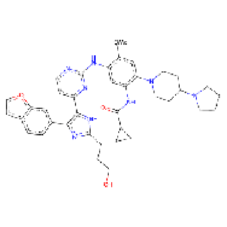 COc1cc(N2CCC(N3CCCC3)CC2)c(NC(=O)C2CC2)cc1Nc1nccc(-c2[nH]c(CCCO)nc2-c2ccc3ccoc3c2)n1